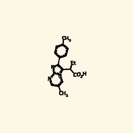 CCC(C(=O)O)c1c(-c2ccc(C)cc2)nc2ncc(C)cn12